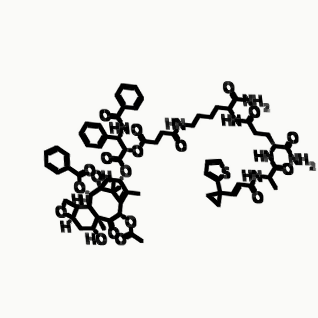 CC(=O)O[C@H]1C(=O)[C@@]2(C)[C@@H]([C@@H]3CO[C@@H]3C[C@@H]2O)[C@H](OC(=O)c2ccccc2)[C@]2(O)C[C@H](OC(=O)[C@H](OC(=O)CCC(=O)NCCCCC(NC(=O)CC[C@H](NC(=O)C(C)NC(=O)/C=C/C3(c4cccs4)CC3)C(N)=O)C(N)=O)[C@H](NC(=O)c3ccccc3)c3ccccc3)C(C)=C1C2(C)C